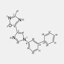 Cc1noc(-c2cn(-c3cccc(-c4ccccc4)c3)cn2)n1